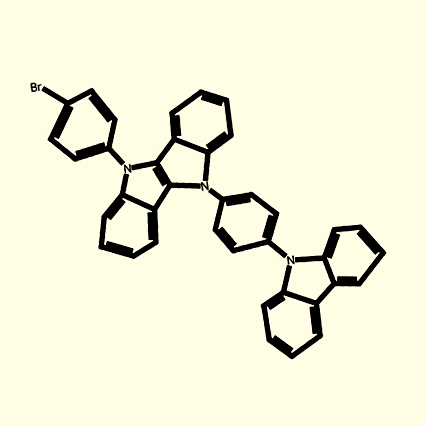 Brc1ccc(-n2c3ccccc3c3c2c2ccccc2n3-c2ccc(-n3c4ccccc4c4ccccc43)cc2)cc1